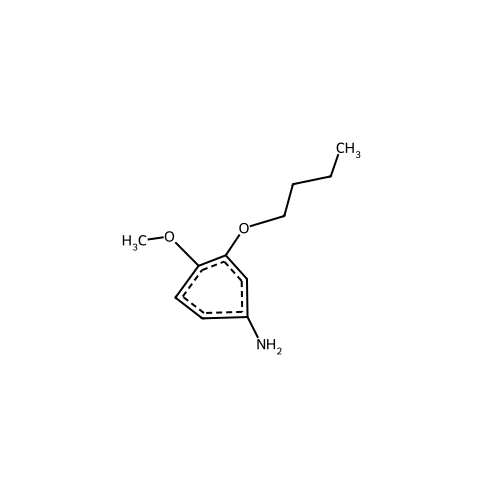 CCCCOc1cc(N)ccc1OC